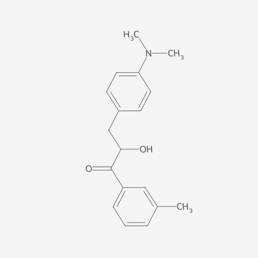 Cc1cccc(C(=O)C(O)Cc2ccc(N(C)C)cc2)c1